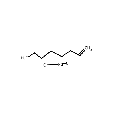 C=CCCCCCC.[Cl][Pd][Cl]